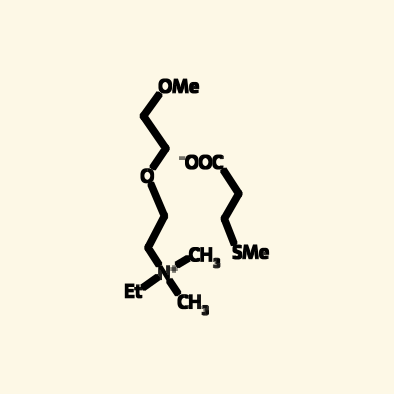 CC[N+](C)(C)CCOCCOC.CSCCC(=O)[O-]